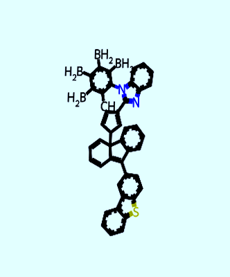 Bc1c(B)c(B)c(-n2c(C3=CC(C45C=CC=CC4=C(c4ccc6sc7ccccc7c6c4)c4ccccc45)C=C3)nc3ccccc32)c(C)c1B